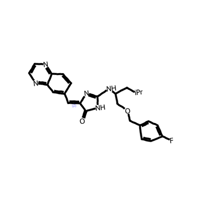 CC(C)CC(COCc1ccc(F)cc1)NC1=N/C(=C\c2ccc3nccnc3c2)C(=O)N1